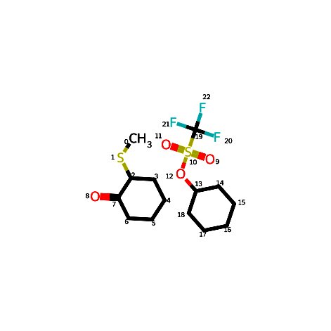 CSC1CCCCC1=O.O=S(=O)(OC1CCCCC1)C(F)(F)F